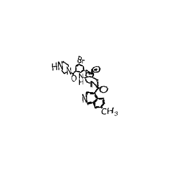 Cc1ccc2c(C(=O)N3CCC(Nc4c(C(=O)N5CCNCC5)cc(Br)cc4[N+](=O)[O-])C3)cncc2c1